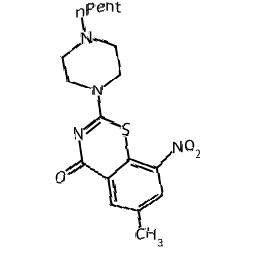 CCCCCN1CCN(c2nc(=O)c3cc(C)cc([N+](=O)[O-])c3s2)CC1